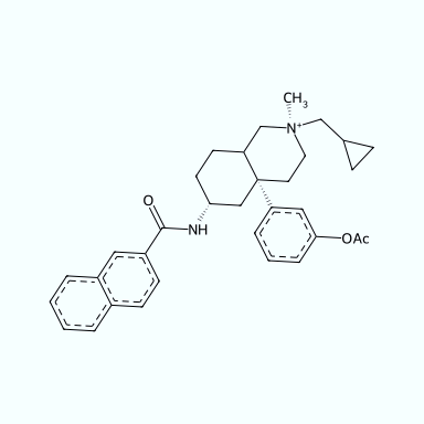 CC(=O)Oc1cccc([C@@]23CC[N@+](C)(CC4CC4)CC2CC[C@@H](NC(=O)c2ccc4ccccc4c2)C3)c1